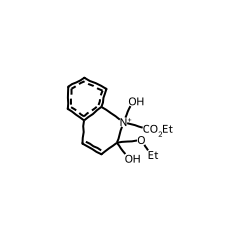 CCOC(=O)[N+]1(O)c2ccccc2C=CC1(O)OCC